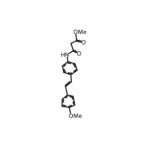 COC(=O)CC(=O)Nc1ccc(C=Cc2ccc(OC)cc2)cc1